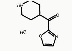 Cl.O=C(c1ncco1)C1CCNCC1